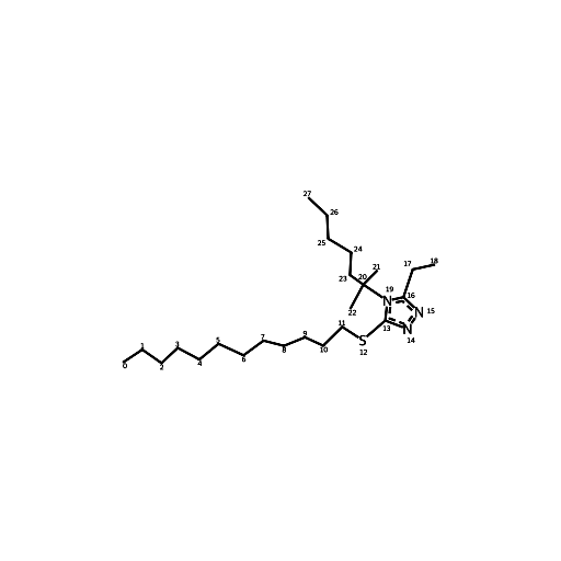 CCCCCCCCCCCCSc1nnc(CC)n1C(C)(C)CCCCC